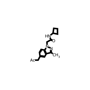 CC(=O)Cc1ccc2c(c1)c(C)nn2CC(=O)NC1CCC1